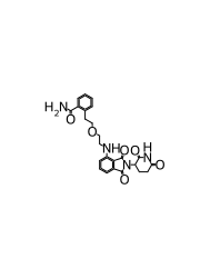 NC(=O)c1ccccc1CCOCCNc1cccc2c1C(=O)N(C1CCC(=O)NC1=O)C2=O